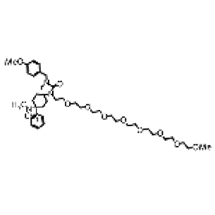 COCCOCCOCCOCCOCCOCCOCCOCCN1C(=O)N(Cc2ccc(OC)cc2)C[C@]12CC[C@@](c1ccccc1)(N(C)C)CC2